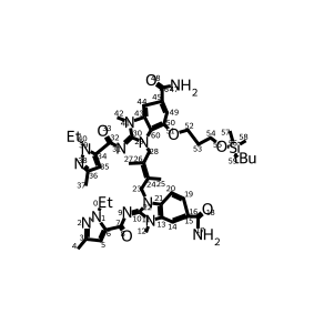 CCn1nc(C)cc1C(=O)/N=c1\n(C)c2cc(C(N)=O)ccc2n1C/C(C)=C(\C)Cn1/c(=N/C(=O)c2cc(C)nn2CC)n(C)c2cc(C(N)=O)cc(OCCCO[Si](C)(C)C(C)(C)C)c21